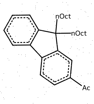 CCCCCCCCC1(CCCCCCCC)c2ccccc2-c2ccc(C(C)=O)cc21